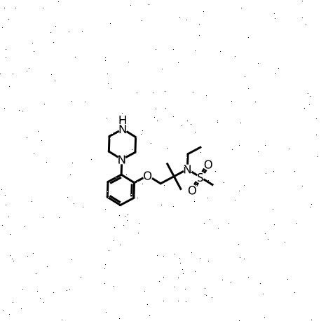 CCN(C(C)(C)COc1ccccc1N1CCNCC1)S(C)(=O)=O